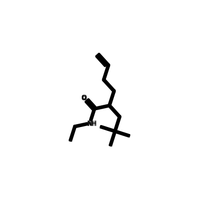 C=CCCC(CC(C)(C)C)C(=O)NCC